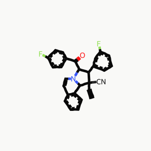 C#CC1(C#N)C(c2cccc(F)c2)C(C(=O)c2ccc(F)cc2)N2C=Cc3ccccc3C21